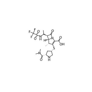 CC(NS(=O)(=O)C(F)(F)F)[C@H]1C(=O)N2C(C(=O)O)=C(S[C@@H]3CN[C@H](C(=O)N(C)C)C3)[C@H](C)[C@H]12